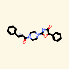 O=C1N=C(N2CCN(C(=O)/C=C/c3ccccc3)CC2)OC1c1ccccc1